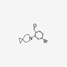 O=Cc1ccc(Br)cc1N1CCC2(CC1)CC2